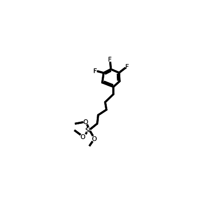 CO[Si](CCCCCc1cc(F)c(F)c(F)c1)(OC)OC